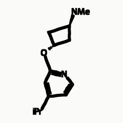 CN[C@H]1C[C@H](Oc2cc(C(C)C)ccn2)C1